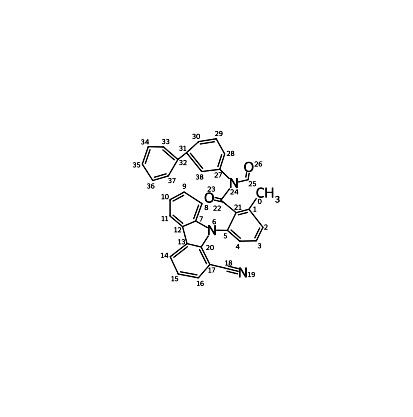 Cc1cccc(-n2c3ccccc3c3cccc(C#N)c32)c1C(=O)N(C=O)c1cccc(-c2ccccc2)c1